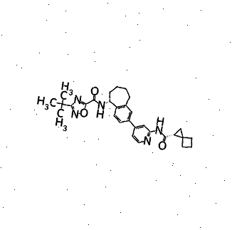 CC(C)(C)c1noc(C(=O)N[C@@H]2CCCCc3cc(-c4ccnc(NC(=O)[C@@H]5CC56CCC6)c4)ccc32)n1